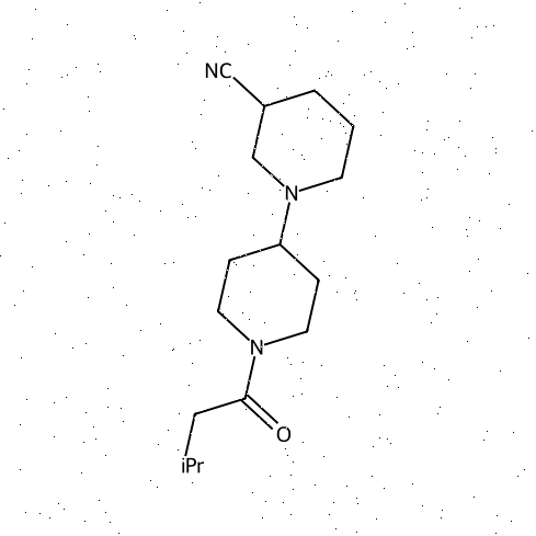 CC(C)CC(=O)N1CCC(N2CCCC(C#N)C2)CC1